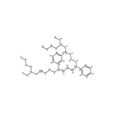 CCCCC(CC)COCCCC(OOOC(CCCOCC(CC)CCCC)c1ccccc1)c1ccccc1